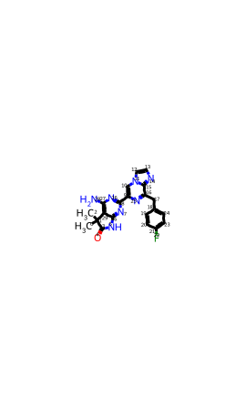 CC1(C)C(=O)Nc2nc(-c3cn4ccnc4c(Cc4ccc(F)cc4)n3)nc(N)c21